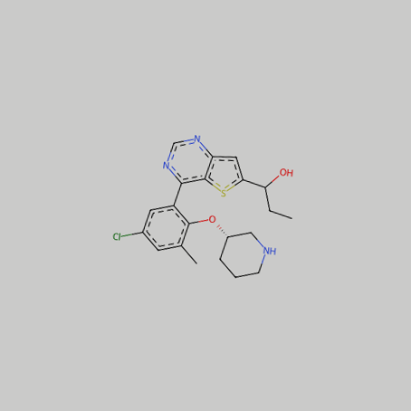 CCC(O)c1cc2ncnc(-c3cc(Cl)cc(C)c3O[C@H]3CCCNC3)c2s1